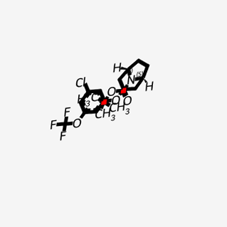 CC(C)(C)OC(=O)N1[C@H]2CC[C@H]1CC(Oc1cc(Cl)cc(OC(F)(F)F)c1)C2